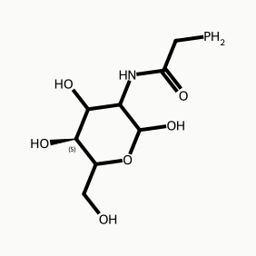 O=C(CP)NC1C(O)OC(CO)[C@@H](O)C1O